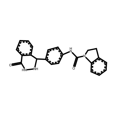 O=C1NNC(c2ccc(NC(=O)N3CCc4ccccc43)cc2)c2ccccc21